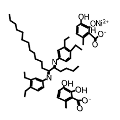 CCCCCCCCCCCCC(=Nc1ccc(CC)c(CC)c1)C(CCCC)=Nc1ccc(CC)c(CC)c1.Cc1ccc(O)c(O)c1C(=O)[O-].Cc1ccc(O)c(O)c1C(=O)[O-].[Ni+2]